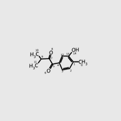 Cc1ccc(C(=O)C(=O)C(C)C)cc1O